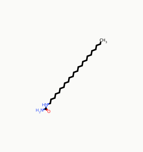 CCCCCCCCCCCCCCCCCCCCCCCCNC(N)=O